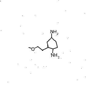 COCCC1CC(N)CCC1N